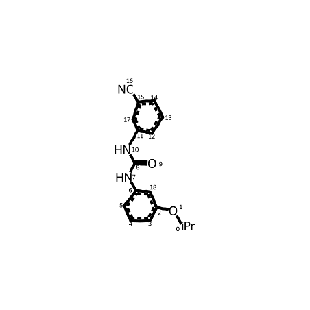 CC(C)Oc1cccc(NC(=O)Nc2cccc(C#N)c2)c1